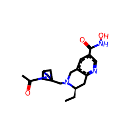 CC[C@@H]1Cc2ncc(C(=O)NO)cc2CN1CC12CC(C1)N(C(C)=O)C2